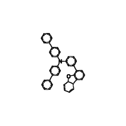 C1=CC2Oc3c(-c4cccc(N(c5ccc(-c6ccccc6)cc5)c5ccc(-c6ccccc6)cc5)c4)cccc3C2C=C1